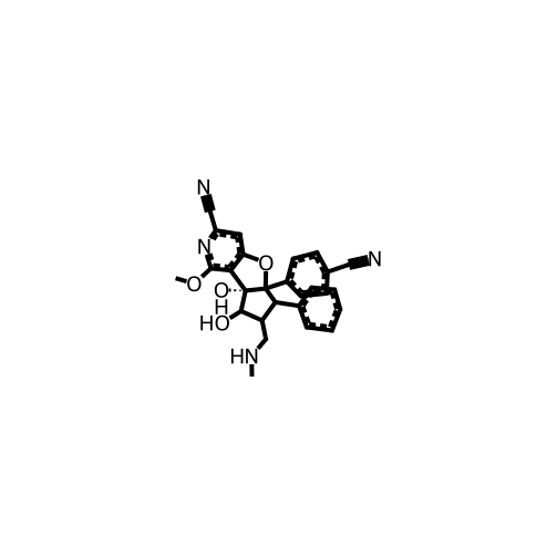 CNCC1C(c2ccccc2)C2(c3ccc(C#N)cc3)Oc3cc(C#N)nc(OC)c3[C@]2(O)C1O